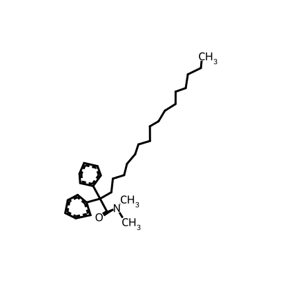 CCCCCCCCCCCCCCCCC(C(=O)N(C)C)(c1ccccc1)c1ccccc1